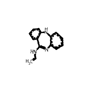 C=CNC1=Nc2ccccc2Nc2ccccc21